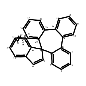 C1=CC2(c3ccccc3-c3ccccc3-c3ccccc32)c2c1ccc1ccsc21